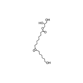 O=C(CCCCCCCC1OC1CCCCCCO)OCC(O)CO